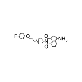 Nc1ccc2c3c(cccc13)C(=O)N(C1CCN(CCCOc3ccc(F)cc3)CC1)C2=O